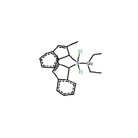 CC[SiH](CC)[Ti]([Cl])([Cl])([CH]1C(C)=Cc2ccccc21)[CH]1C(C)=Cc2ccccc21